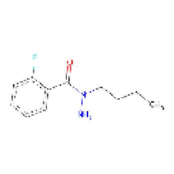 CCCCN(N)C(=O)c1ccccc1F